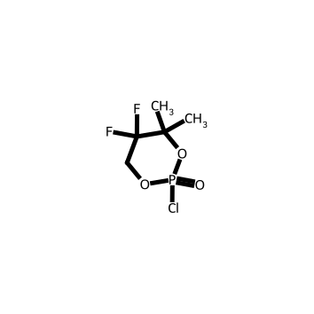 CC1(C)OP(=O)(Cl)OCC1(F)F